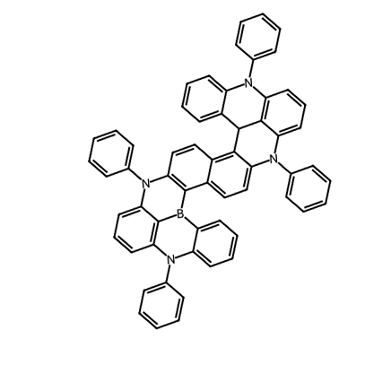 c1ccc(N2c3ccccc3B3c4c2cccc4N(c2ccccc2)c2ccc4c5c(ccc4c23)N(c2ccccc2)c2cccc3c2C5c2ccccc2N3c2ccccc2)cc1